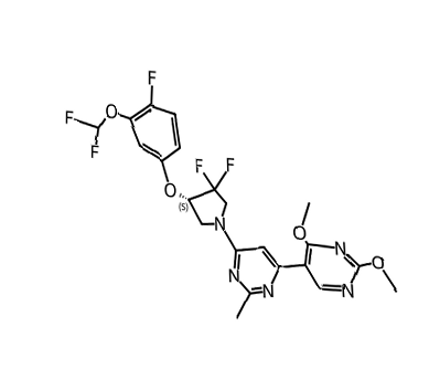 COc1ncc(-c2cc(N3C[C@H](Oc4ccc(F)c(OC(F)F)c4)C(F)(F)C3)nc(C)n2)c(OC)n1